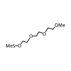 COCCOCCOCCOSC